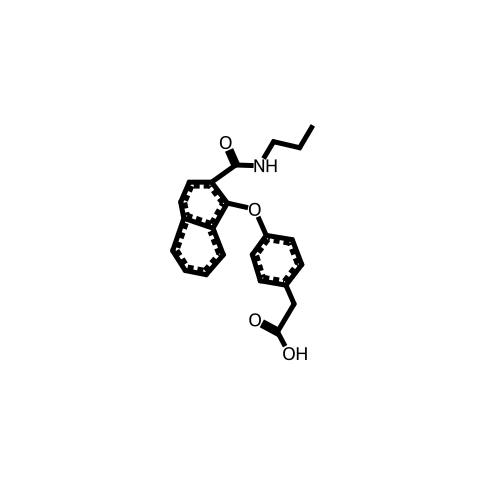 CCCNC(=O)c1ccc2ccccc2c1Oc1ccc(CC(=O)O)cc1